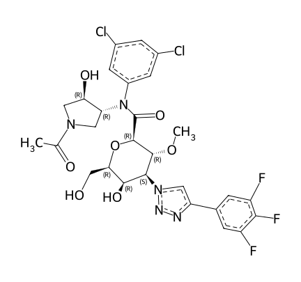 CO[C@@H]1[C@@H](n2cc(-c3cc(F)c(F)c(F)c3)nn2)[C@@H](O)[C@@H](CO)O[C@H]1C(=O)N(c1cc(Cl)cc(Cl)c1)[C@@H]1CN(C(C)=O)C[C@H]1O